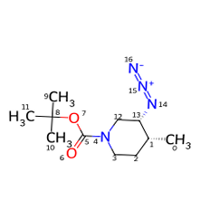 C[C@@H]1CCN(C(=O)OC(C)(C)C)C[C@@H]1N=[N+]=[N-]